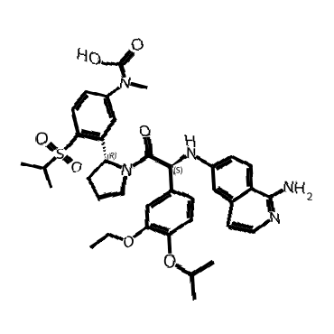 CCOc1cc([C@H](Nc2ccc3c(N)nccc3c2)C(=O)N2CCC[C@@H]2c2cc(N(C)C(=O)O)ccc2S(=O)(=O)C(C)C)ccc1OC(C)C